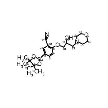 CC1(C)OB(c2ccc(OCC(O)CN3CCOCC3)c(C#N)c2)OC1(C)C